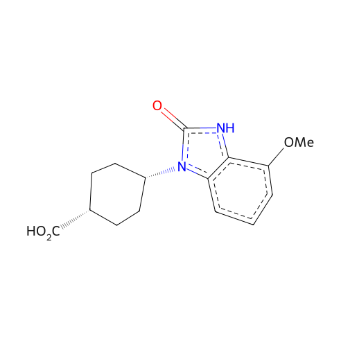 COc1cccc2c1[nH]c(=O)n2[C@H]1CC[C@@H](C(=O)O)CC1